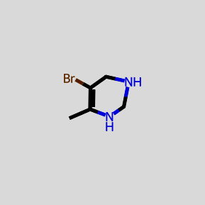 CC1=C(Br)CNCN1